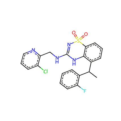 CC(c1ccccc1F)c1cccc2c1NC(NCc1ncccc1Cl)=NS2(=O)=O